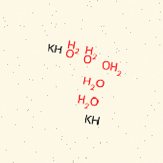 O.O.O.O.O.[KH].[KH]